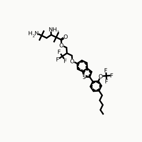 CCCCCc1ccc(-c2cc3ccc(OCC(COC(=O)C(C)(C)C(N)CC(C)(C)N)C(F)(F)F)cc3s2)c(OC(F)(F)F)c1